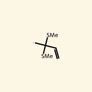 [CH2]C(C=C)(SC)SC